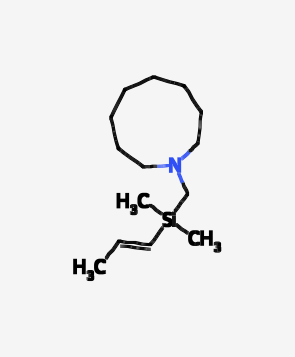 CC=C[Si](C)(C)CN1CCCCCCCC1